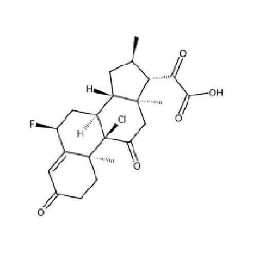 C[C@@H]1C[C@H]2[C@@H]3C[C@H](F)C4=CC(=O)CC[C@]4(C)[C@@]3(Cl)C(=O)C[C@]2(C)[C@H]1C(=O)C(=O)O